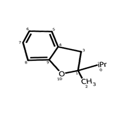 CC(C)C1(C)Cc2ccccc2O1